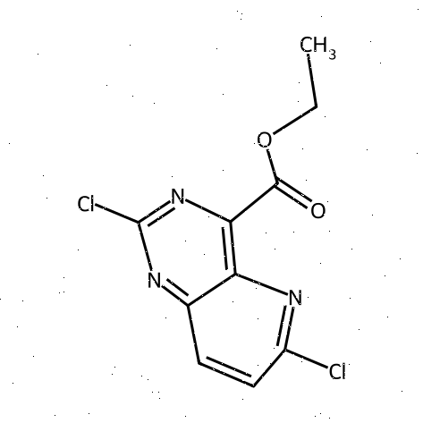 CCOC(=O)c1nc(Cl)nc2ccc(Cl)nc12